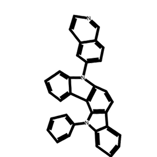 c1ccc(-n2c3ccccc3c3ccc4c(c5ccccc5n4-c4ccc5cnccc5c4)c32)cc1